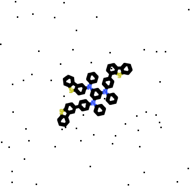 c1ccc(N(c2ccc(-c3ccc4sc5ccccc5c4c3)cc2)c2cc(N(c3ccccc3)c3ccc(-c4cccc5c4sc4ccccc45)cc3)cc(N(c3ccccc3)c3ccc4sc5ccccc5c4c3)c2)cc1